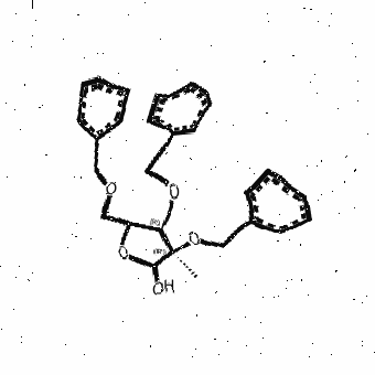 C[C@]1(OCc2ccccc2)C(O)OC(COCc2ccccc2)[C@H]1OCc1ccccc1